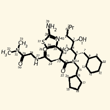 CC(C)C[C@H](O)[C@H](O)[C@H](CC1CCCCC1)N(CC1CCCC1)C(=O)[C@@H](CC(=O)NCC(=O)N(C)C)Cc1csc(N)n1